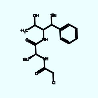 [CH2]C(O)C(NC(=O)[C@@H](NC(=O)CCl)C(C)(C)C)C(c1ccccc1)C(C)(C)C